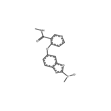 CNC(=O)c1cnccc1Oc1ccc2nc([S+](C)[O-])oc2c1